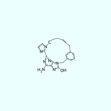 Nc1nc2nc3c1nc(O)n3Cc1cccc(c1)C/C=C/CCCn1ccnc1-2